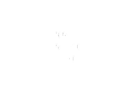 Cc1cccc2c1N1C(=NN(c3ccccc3)C1C)c1ccccc1-2